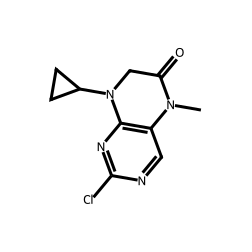 CN1C(=O)CN(C2CC2)c2nc(Cl)ncc21